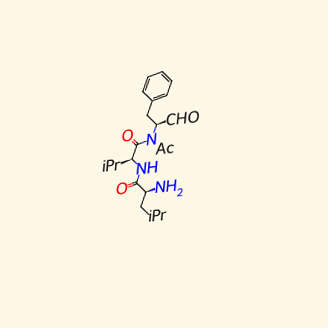 CC(=O)N(C(=O)[C@@H](NC(=O)[C@@H](N)CC(C)C)C(C)C)[C@H](C=O)Cc1ccccc1